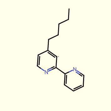 CCCCCc1[c]c(-c2ccccn2)ncc1